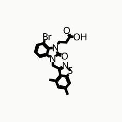 Cc1cc(C)c2c(Cn3c(=O)n(CCC(=O)O)c4c(Br)cccc43)nsc2c1